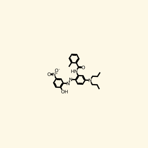 CCCN(CCC)c1ccc(N=Nc2cc([N+](=O)[O-])ccc2O)c(NC(=O)c2ccccc2C)c1